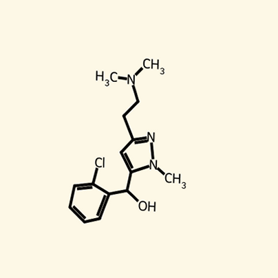 CN(C)CCc1cc(C(O)c2ccccc2Cl)n(C)n1